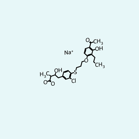 CCCc1c(OCCCSc2ccc(CC(O)C(C)C(=O)[O-])cc2Cl)ccc(C(C)=O)c1O.[Na+]